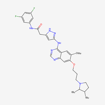 COc1cc2c(Nc3cc(CC(=O)Nc4cc(F)cc(F)c4)[nH]n3)ncnc2cc1OCCCN1CCC(C(C)(C)C)[C]1C(C)(C)C